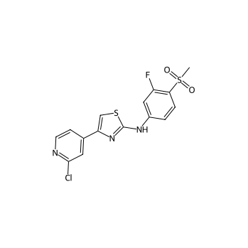 CS(=O)(=O)c1ccc(Nc2nc(-c3ccnc(Cl)c3)cs2)cc1F